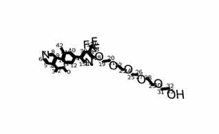 CCC(C)c1ccncc1-c1ccc(-c2cnc(OCCOCCOCCOCCOCCO)c(C(F)(F)F)c2)cc1C